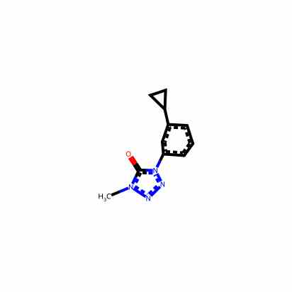 Cn1nnn(-c2cccc(C3CC3)c2)c1=O